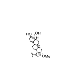 C=C(C)[C@@H]1CC[C@]2(COC)CC[C@]3(C)C(CCC4[C@@]5(C)CC[C@H](O)[C@@](C)(CO)[C@@H]5CC[C@]43C)C12